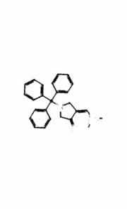 C[As](C)C=C1CN(C(c2ccccc2)(c2ccccc2)c2ccccc2)CC1=O